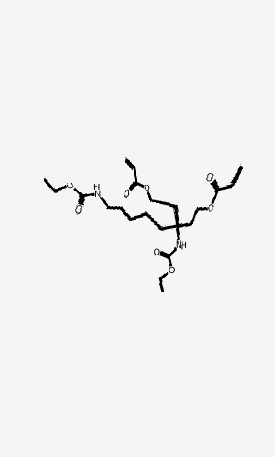 C=CC(=O)OCCC(CCCCCNC(=O)OCC)(CCOC(=O)C=C)NC(=O)OCC